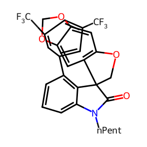 CCCCCN1C(=O)C2(COc3cc4c(cc32)OCO4)c2c(-c3cc(C(F)(F)F)cc(C(F)(F)F)c3)cccc21